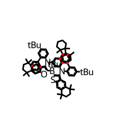 Cc1ccc(C(C)(C)C)cc1C1(C)CCCCC1(C)C(C)c1cc2c3c(c1)N(c1ccc(C(C)(C)C)cc1-c1ccccc1)c1c(sc4cc5c(cc14)C(C)(C)CCC5(C)C)B3c1oc3cc4c(cc3c1N2c1ccc(C(C)(C)C)cc1-c1ccccc1)C(C)(C)CCC4(C)C